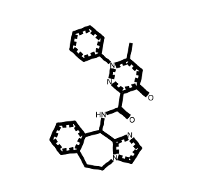 Cc1cc(=O)c(C(=O)NC2c3ccccc3CCn3ccnc32)nn1-c1ccccc1